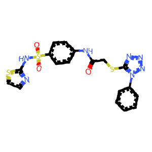 O=C(CSc1nnnn1-c1ccccc1)Nc1ccc(S(=O)(=O)Nc2nccs2)cc1